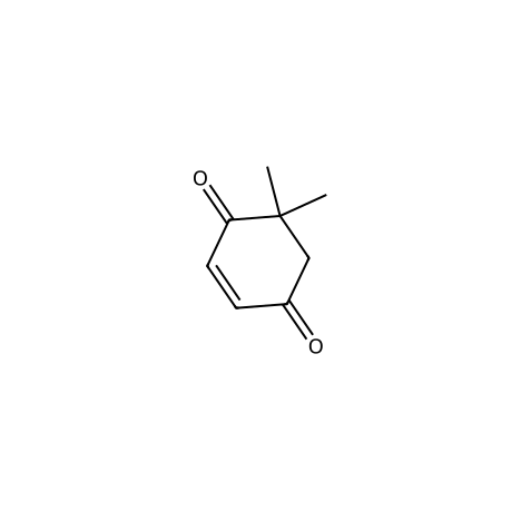 CC1(C)CC(=O)C=CC1=O